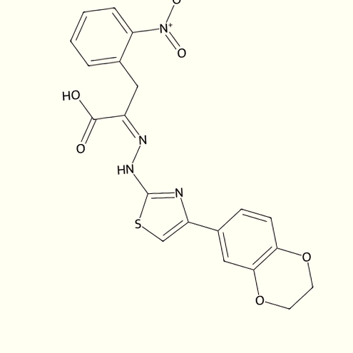 O=C(O)C(Cc1ccccc1[N+](=O)[O-])=NNc1nc(-c2ccc3c(c2)OCCO3)cs1